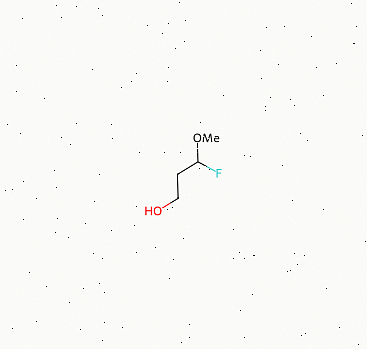 COC(F)CCO